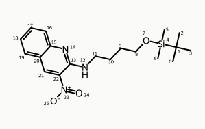 CC(C)(C)[Si](C)(C)OCCCCNc1nc2ccccc2cc1[N+](=O)[O-]